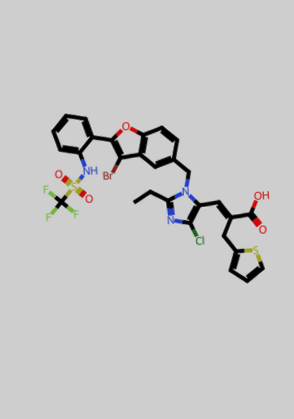 CCc1nc(Cl)c(C=C(Cc2cccs2)C(=O)O)n1Cc1ccc2oc(-c3ccccc3NS(=O)(=O)C(F)(F)F)c(Br)c2c1